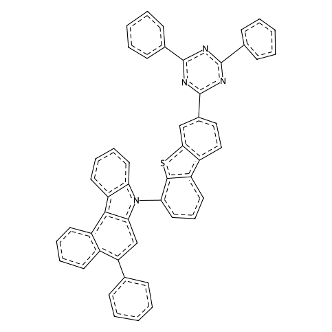 c1ccc(-c2nc(-c3ccccc3)nc(-c3ccc4c(c3)sc3c(-n5c6ccccc6c6c7ccccc7c(-c7ccccc7)cc65)cccc34)n2)cc1